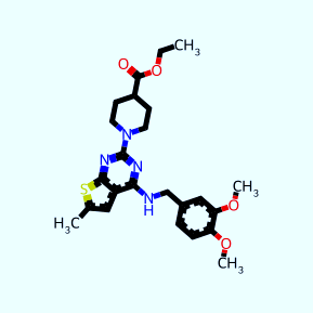 CCOC(=O)C1CCN(c2nc(NCc3ccc(OC)c(OC)c3)c3cc(C)sc3n2)CC1